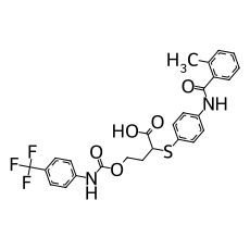 Cc1ccccc1C(=O)Nc1ccc(SC(CCOC(=O)Nc2ccc(C(F)(F)F)cc2)C(=O)O)cc1